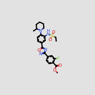 CCS(=O)(=O)Nc1cc(-c2nc(-c3ccc(C(=O)OC)c(F)c3)no2)ccc1N1CCCCC1C